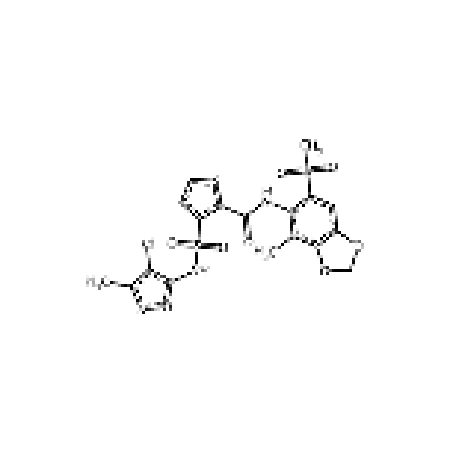 Cc1noc(NS(=O)(=O)c2ccsc2C(=O)Nc2c(S(C)(=O)=O)cc3c(c2C)OCO3)c1Cl